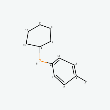 Cc1ccc([P]C2CCCCC2)cc1